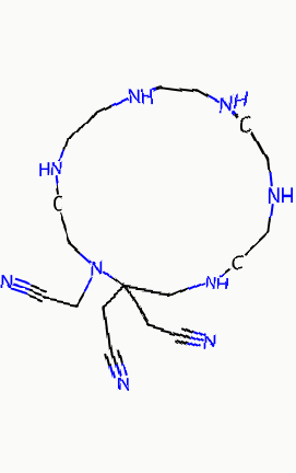 N#CCN1CCNCCNCCNCCNCCNCC1(CC#N)CC#N